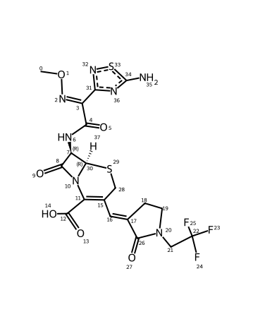 CON=C(C(=O)N[C@@H]1C(=O)N2C(C(=O)O)=C(C=C3CCN(CC(F)(F)F)C3=O)CS[C@H]12)c1nsc(N)n1